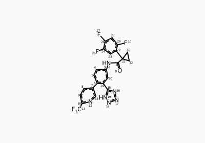 O=C(Nc1ccc(-c2ccc(C(F)(F)F)nc2)c(-c2nnn[nH]2)c1)C1(c2cc(F)c(F)cc2F)CC1